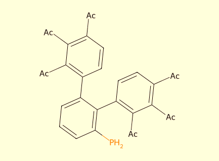 CC(=O)c1ccc(-c2cccc(P)c2-c2ccc(C(C)=O)c(C(C)=O)c2C(C)=O)c(C(C)=O)c1C(C)=O